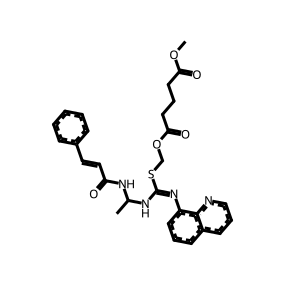 COC(=O)CCCC(=O)OCS/C(=N/c1cccc2cccnc12)NC(C)NC(=O)/C=C/c1ccccc1